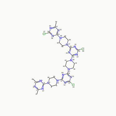 Cc1nc(C)nc(N2CCN(c3nc(Cl)nc(N4CCN(c5nc(Cl)nc(N6CCN(c7nc(C)nc(Cl)n7)CC6)n5)CC4)n3)CC2)n1